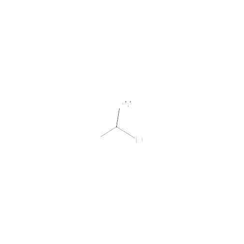 [CH]CC(C)OC